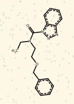 CCN(CCOCc1ccccc1)C(=O)n1nnc2ccccc21